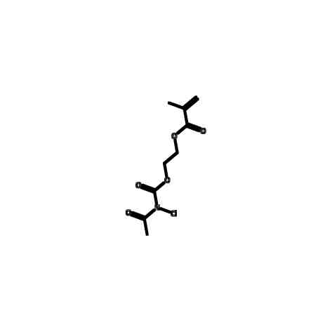 C=C(C)C(=O)OCCOC(=O)N(Cl)C(C)=O